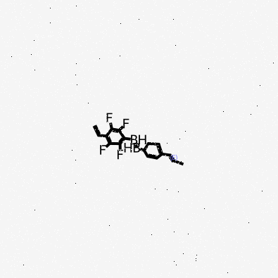 C=Cc1c(F)c(F)c(BBC2C=CC(/C=C/C)=CC2)c(F)c1F